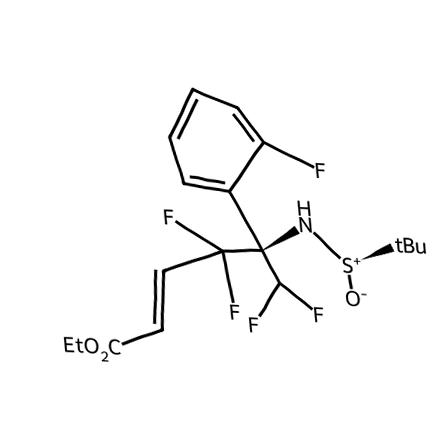 CCOC(=O)C=CC(F)(F)[C@](N[S@+]([O-])C(C)(C)C)(c1ccccc1F)C(F)F